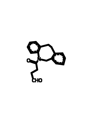 O=CCCC(=O)N1Cc2ccccc2CCc2ccccc21